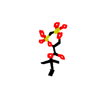 C#CC(C)(C)OC(=O)C1COS(=O)(=O)CS(=O)(=O)O1